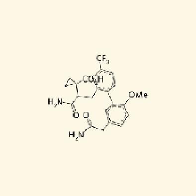 COc1ccc(CC(N)=O)cc1-c1ccc(C(F)(F)F)cc1CC(C(N)=O)C1(C(=O)O)CC1